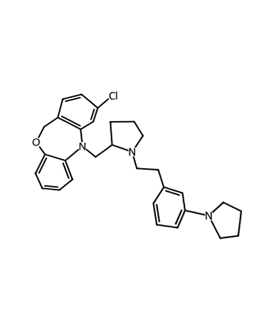 Clc1ccc2c(c1)N(CC1CCCN1CCc1cccc(N3CCCC3)c1)c1ccccc1OC2